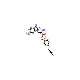 CC#CCOc1ccc(S(=O)(=O)OC(=O)[C@@H](N)Cc2c(C)[nH]c3ccc(OC)cc23)cc1